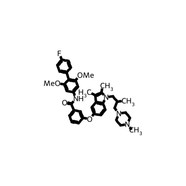 COc1cc(NC(=O)c2cccc(Oc3ccc4c(c3)c(C)c(C)n4CC(C)CN3CCN(C)CC3)c2)cc(OC)c1-c1ccc(F)cc1